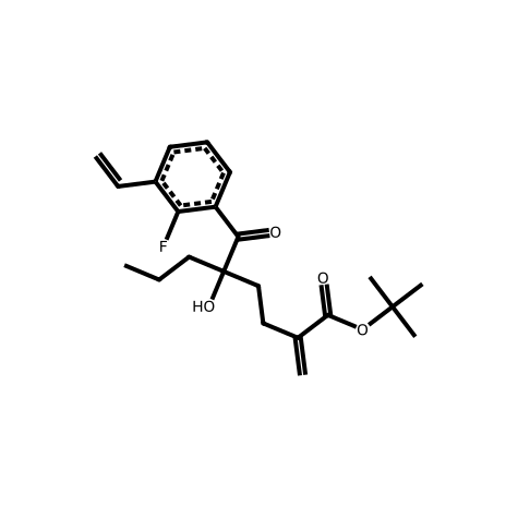 C=Cc1cccc(C(=O)C(O)(CCC)CCC(=C)C(=O)OC(C)(C)C)c1F